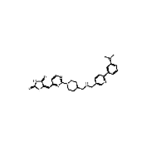 CN(C)c1cccc(-c2ccc(CNCC3CCN(c4nccc(C=C5SC(=O)NC5=O)n4)CC3)cn2)c1